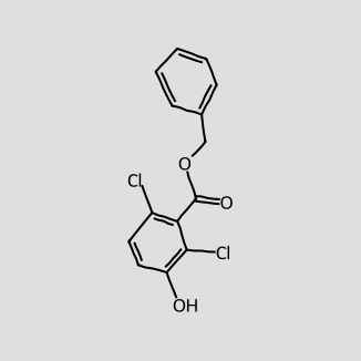 O=C(OCc1ccccc1)c1c(Cl)ccc(O)c1Cl